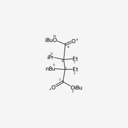 CCCCC(CC)(C(=O)OCC(C)C)C(CC)(C(=O)OCC(C)C)C(C)C